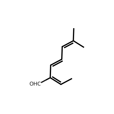 CC=C(C=O)C=CC=C(C)C